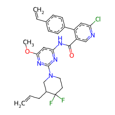 C=CCC1CN(c2nc(NC(=O)c3cnc(Cl)cc3-c3ccc(C=C)cc3)cc(OC)n2)CCC1(F)F